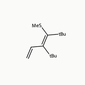 C=C/C(=C(\SC)C(C)(C)C)C(C)(C)C